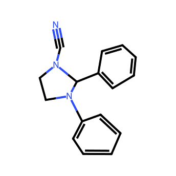 N#CN1CCN(c2ccccc2)C1c1ccccc1